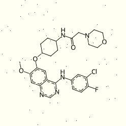 COc1cc2ncnc(Nc3ccc(F)c(Cl)c3)c2cc1OC1CCC(NC(=O)CN2CCOCC2)CC1